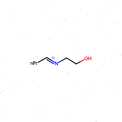 CCC/C=N/CCO